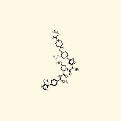 Cc1ncsc1-c1ccc([C@H](C)NC(=O)[C@@H]2C[C@@H](O)CN2C(=O)[C@H](c2cc(N3CCN(CC4(F)CCN(C(=O)OC(C)(C)C)CC4)[C@@H](C)C3)no2)C(C)C)cc1